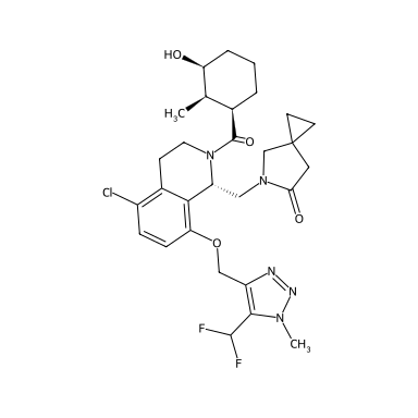 C[C@H]1[C@@H](O)CCC[C@H]1C(=O)N1CCc2c(Cl)ccc(OCc3nnn(C)c3C(F)F)c2[C@H]1CN1CC2(CC2)CC1=O